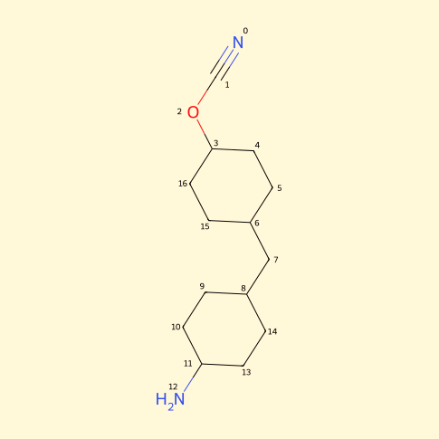 N#COC1CCC(CC2CCC(N)CC2)CC1